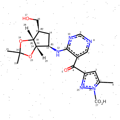 Cc1cc(C(=O)c2cncnc2N[C@@H]2C[C@H](CO)[C@H]3OC(C)(C)O[C@H]32)nn1C(=O)O